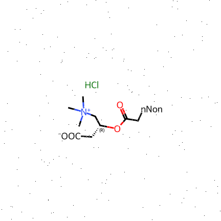 CCCCCCCCCCC(=O)O[C@H](CC(=O)[O-])C[N+](C)(C)C.Cl